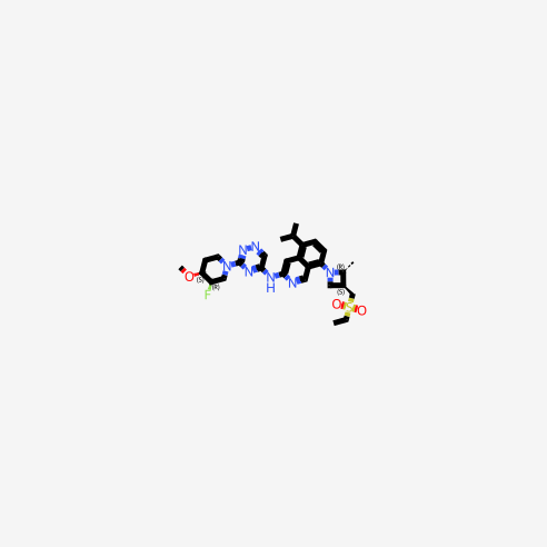 CCS(=O)(=O)C[C@H]1CN(c2ccc(C(C)C)c3cc(Nc4cnnc(N5CC[C@H](OC)[C@H](F)C5)n4)ncc23)[C@@H]1C